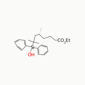 CCOC(=O)CCC[C@@H](C)CC(C)(C)[Si](O)(c1ccccc1)c1ccccc1